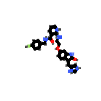 O=C1Nc2cc(OCCNc3ncccc3C(=O)NCc3ccc(F)cc3)ccc2/C1=C/c1cnc[nH]1